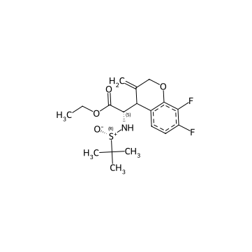 C=C1COc2c(ccc(F)c2F)C1[C@H](N[S@@+]([O-])C(C)(C)C)C(=O)OCC